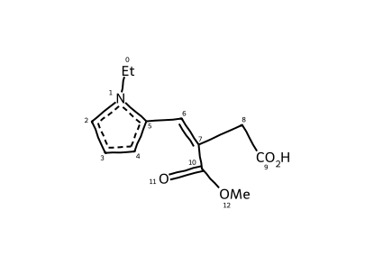 CCn1cccc1/C=C(/CC(=O)O)C(=O)OC